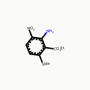 CCOC(=O)c1c(SC)ccc([N+](=O)[O-])c1N